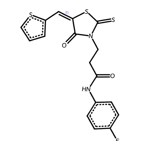 O=C(CCN1C(=O)/C(=C\c2cccs2)SC1=S)Nc1ccc(F)cc1